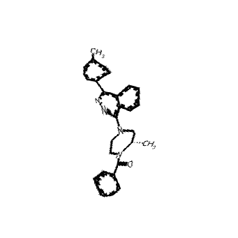 Cc1ccc(-c2nnc(N3CCN(C(=O)c4ccccc4)[C@@H](C)C3)c3ccccc23)cc1